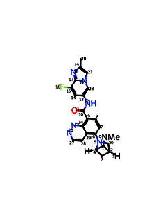 CNC1[C@H]2C[C@@H]1N(c1ccc(C(=O)Nc3cc(F)c4nc(C)cn4c3)c3nnccc13)C2